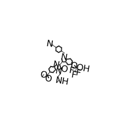 CNCCn1c(=O)c(-c2cn(Cc3ccc(C#N)cc3)c3ccccc23)nc2ccc(C(=O)OC)cc21.O=C(O)C(F)(F)F